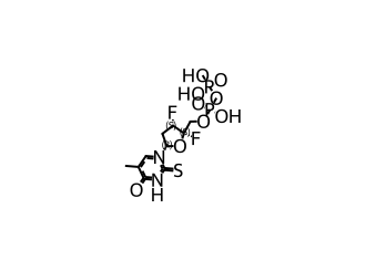 Cc1cn([C@H]2C[C@H](F)[C@@](F)(COP(=O)(O)OP(=O)(O)O)O2)c(=S)[nH]c1=O